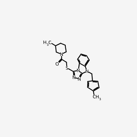 Cc1ccc(Cn2c3ccccc3n3c(SCC(=O)N4CCCC(C)C4)nnc23)cc1